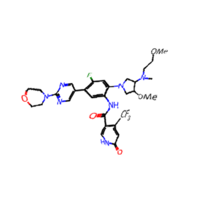 COCCN(C)C1CN(c2cc(F)c(-c3cnc(N4CCOCC4)nc3)cc2NC(=O)c2c[nH]c(=O)cc2C(F)(F)F)CC1OC